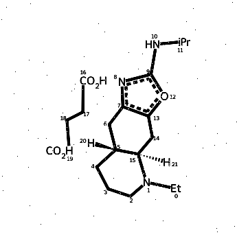 CCN1CCC[C@@H]2Cc3nc(NC(C)C)oc3C[C@H]21.O=C(O)CCC(=O)O